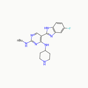 CCCCNc1ncc(-c2nc3cc(F)ccc3[nH]2)c(NC2CCNCC2)n1